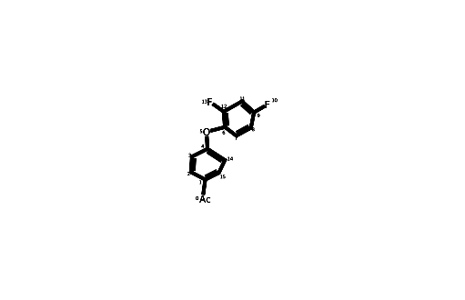 CC(=O)c1ccc(Oc2ccc(F)cc2F)cc1